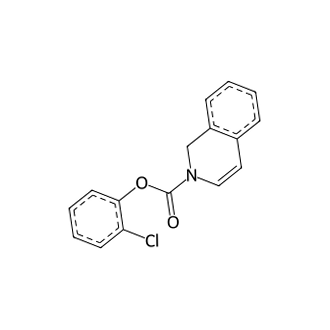 O=C(Oc1ccccc1Cl)N1C=Cc2ccccc2C1